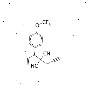 C#CCC(C#N)(C#N)C(C=C)c1ccc(OC(F)(F)F)cc1